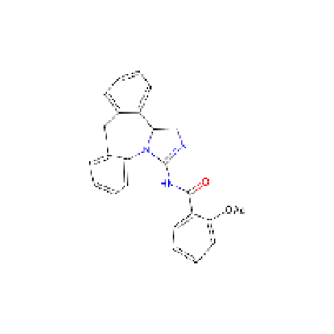 CC(=O)Oc1ccccc1C(=O)NC1=NCC2c3ccccc3Cc3ccccc3N12